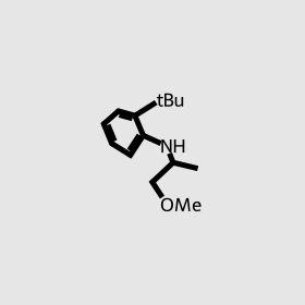 COCC(C)Nc1ccccc1C(C)(C)C